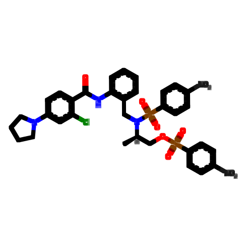 C[C@H](COS(=O)(=O)c1ccc([N+](=O)[O-])cc1)N(Cc1ccccc1NC(=O)c1ccc(N2CCCC2)cc1Cl)S(=O)(=O)c1ccc([N+](=O)[O-])cc1